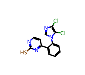 Sc1nccc(-c2ccccc2-n2cnc(Cl)c2Cl)n1